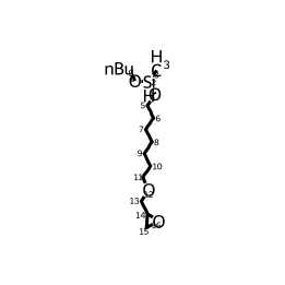 CCCCO[SiH](C)OCCCCCCCOCC1CO1